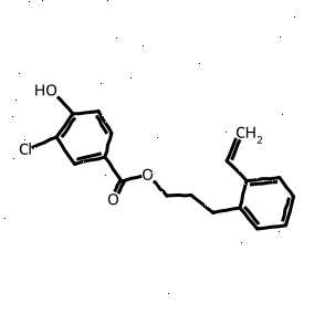 C=Cc1ccccc1CCCOC(=O)c1ccc(O)c(Cl)c1